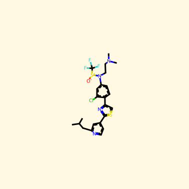 CC(C)Cc1cc(-c2nc(-c3ccc(N(CCN(C)C)[S+]([O-])C(F)(F)F)cc3Cl)cs2)ccn1